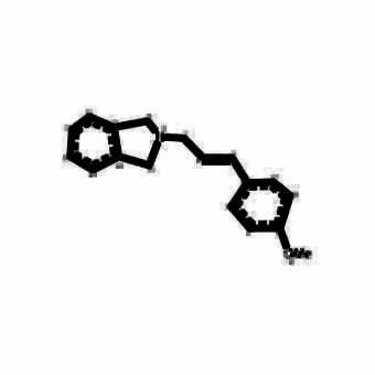 COc1ccc(C=CCN2Cc3ccccc3C2)cc1